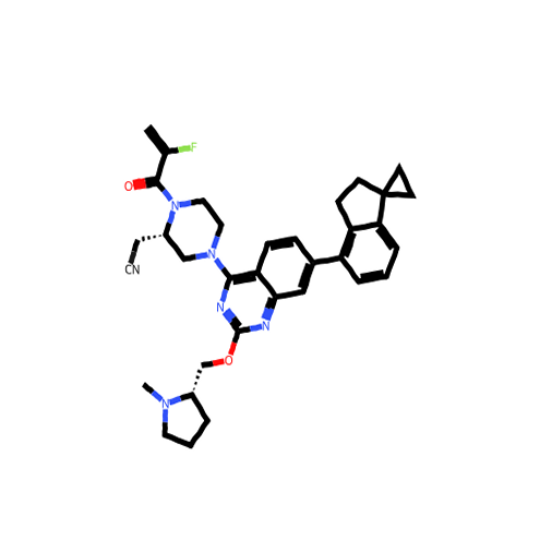 C=C(F)C(=O)N1CCN(c2nc(OC[C@@H]3CCCN3C)nc3cc(-c4cccc5c4CCC54CC4)ccc23)C[C@@H]1CC#N